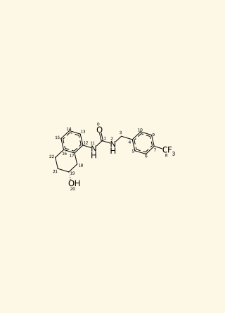 O=C(NCc1ccc(C(F)(F)F)cc1)Nc1cccc2c1C[C@H](O)CC2